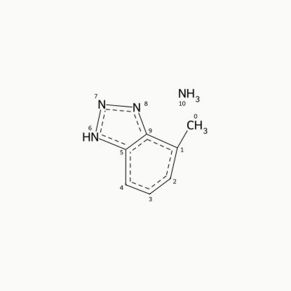 Cc1cccc2[nH]nnc12.N